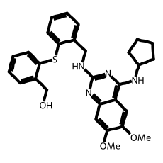 COc1cc2nc(NCc3ccccc3Sc3ccccc3CO)nc(NC3CCCC3)c2cc1OC